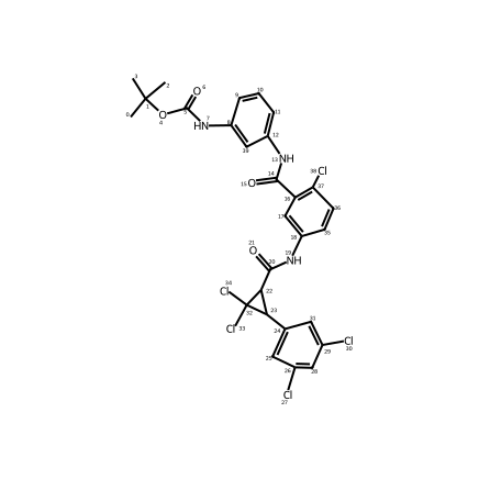 CC(C)(C)OC(=O)Nc1cccc(NC(=O)c2cc(NC(=O)C3C(c4cc(Cl)cc(Cl)c4)C3(Cl)Cl)ccc2Cl)c1